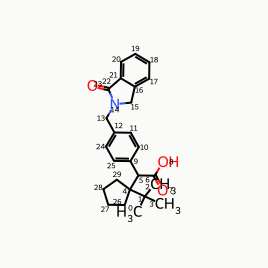 CC(C)(C)C1(C(C(=O)O)c2ccc(CN3Cc4ccccc4C3=O)cc2)CCCC1